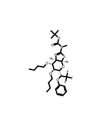 CCCCO[C@@H]1[C@H]2N=C(N(C)C(=O)OC(C)(C)C)S[C@H]2O[C@H](C(Oc2ccccc2)C(F)(F)F)[C@H]1OCCCC